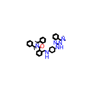 C[C@@H](c1ccccc1)N(C(=O)c1ccccc1CN[C@H]1CC[C@@H](Nc2nc(N(C)C)c3ccccc3n2)CC1)[C@@H](C)c1ccccc1